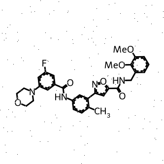 COc1cccc(CNC(=O)c2cc(-c3cc(NC(=O)c4cc(F)cc(N5CCOCC5)c4)ccc3C)no2)c1OC